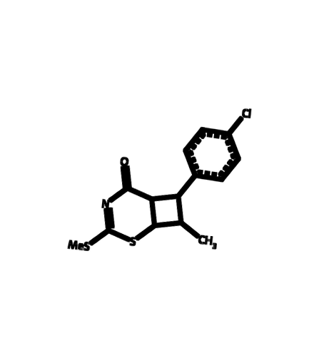 CSC1=NC(=O)C2C(S1)C(C)C2c1ccc(Cl)cc1